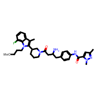 COCCCn1c(C2CCCN(C(=O)CC(N)Cc3ccc(NC(=O)c4cc(C)nn4C)cc3)C2)c(C)c2cccc(F)c21